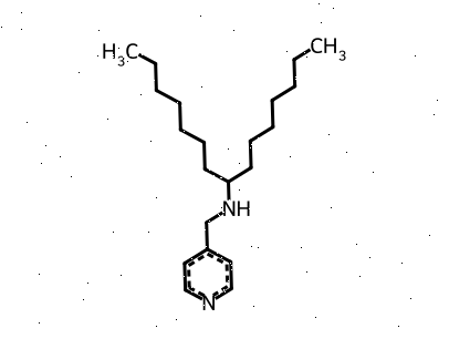 CCCCCCCC(CCCCCCC)NCc1ccncc1